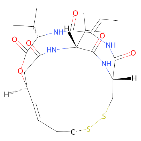 C/C=C1\NC(=O)[C@@H]2CSSCC/C=C/[C@H](CC(=O)N[C@H](C(C)C)C(=O)N2)OC(=O)[C@H](C(C)C)NC1=O